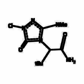 CNc1nn(Cl)c(=O)n1C(C(N)=O)C(C)(C)C